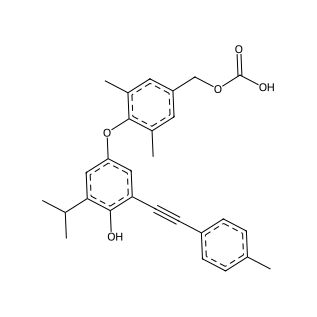 Cc1ccc(C#Cc2cc(Oc3c(C)cc(COC(=O)O)cc3C)cc(C(C)C)c2O)cc1